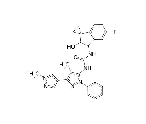 Cc1c(-c2cnn(C)c2)nn(-c2ccccc2)c1NC(=O)NC1c2cc(F)ccc2C2(CC2)C1O